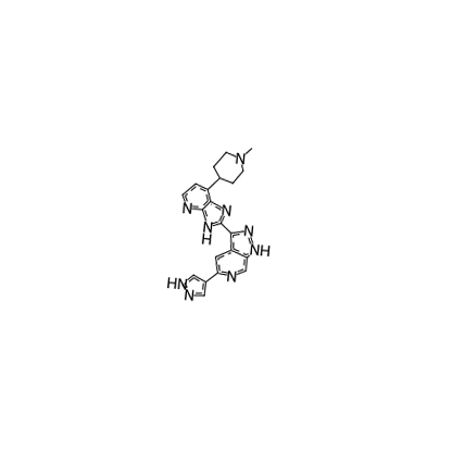 CN1CCC(c2ccnc3[nH]c(-c4n[nH]c5cnc(-c6cn[nH]c6)cc45)nc23)CC1